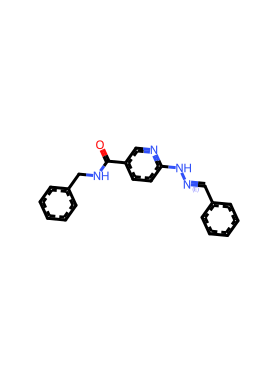 O=C(NCc1ccccc1)c1ccc(N/N=C/c2ccccc2)nc1